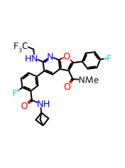 CNC(=O)c1c(-c2ccc(F)cc2)oc2nc(NCC(F)(F)F)c(-c3ccc(F)c(C(=O)NC45CC(C4)C5)c3)cc12